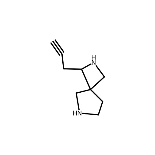 C#CCC1NCC12CCNC2